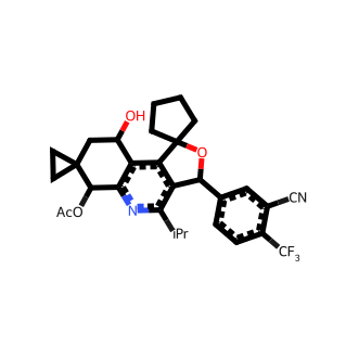 CC(=O)OC1c2nc(C(C)C)c3c(c2C(O)CC12CC2)C1(CCCC1)OC3c1ccc(C(F)(F)F)c(C#N)c1